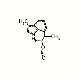 Cc1c[nH]c2c(C(C)C(F)OC=O)cccc12